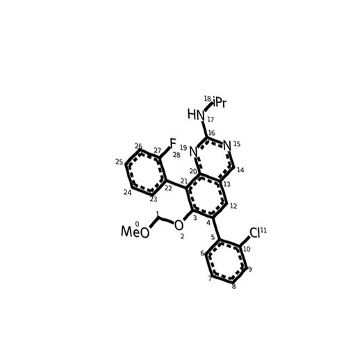 COCOc1c(-c2ccccc2Cl)cc2cnc(NC(C)C)nc2c1-c1ccccc1F